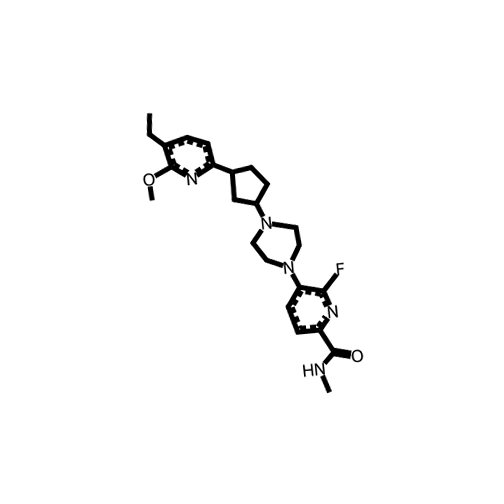 CCc1ccc(C2CCC(N3CCN(c4ccc(C(=O)NC)nc4F)CC3)C2)nc1OC